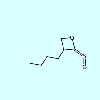 CCCCC1COC1=S=O